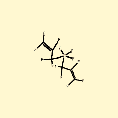 FC(F)=C(F)C(F)(F)P(F)(F)(F)C(F)(F)C(F)=C(F)F